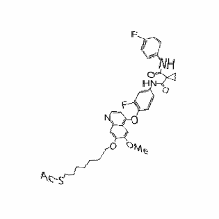 COc1cc2c(Oc3ccc(NC(=O)C4(C(=O)Nc5ccc(F)cc5)CC4)cc3F)ccnc2cc1OCCCCCCCSC(C)=O